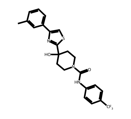 Cc1cccc(-c2csc(C3(O)CCN(C(=O)Nc4ccc(C(F)(F)F)cc4)CC3)n2)c1